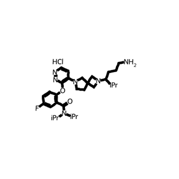 CC(C)C(CCCN)N1CC2(CCN(c3ccnnc3Oc3ccc(F)cc3C(=O)N(C(C)C)C(C)C)C2)C1.Cl